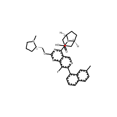 Cc1ccc2cccc(-c3ncc4c(N5C[C@H]6CC[C@@H](C5)N6C(=O)O)nc(OC[C@@H]5CCCN5C)nc4c3F)c2c1